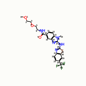 COCCOCCNC(=O)c1ccc2c(c1)nc(Nc1nc3ccc(C(F)(F)F)cc3s1)n2C